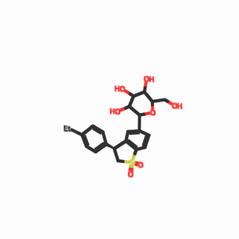 CCc1ccc([C@@H]2CS(=O)(=O)c3ccc(C4OC(CO)C(O)C(O)C4O)cc32)cc1